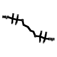 O=C(O)C(F)(F)C(F)(F)OCCCCOC(F)(F)C(F)(F)C(=O)O